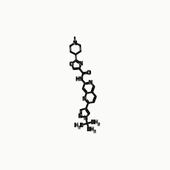 BC(B)(B)n1cc(-c2ccc3cnc(NC(=O)c4coc(C5CCN(C)CC5)n4)cc3n2)cn1